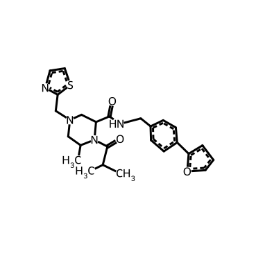 CC(C)C(=O)N1C(C)CN(Cc2nccs2)CC1C(=O)NCc1ccc(-c2ccco2)cc1